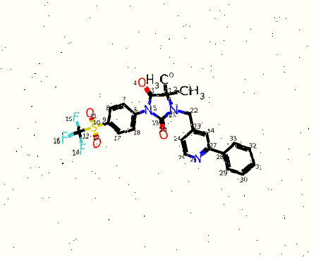 CC1(C)C(=O)N(c2ccc(S(=O)(=O)C(F)(F)F)cc2)C(=O)N1Cc1ccnc(-c2ccccc2)c1